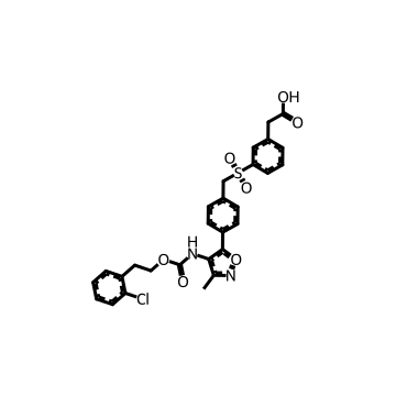 Cc1noc(-c2ccc(CS(=O)(=O)c3cccc(CC(=O)O)c3)cc2)c1NC(=O)OCCc1ccccc1Cl